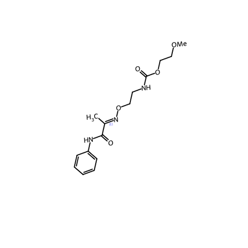 COCCOC(=O)NCCO/N=C(\C)C(=O)Nc1ccccc1